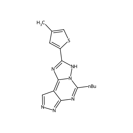 CCCCc1nc2nncc-2c2nc(-c3cc(C)cs3)[nH]n12